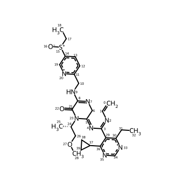 C=C/N=C(\N=C1/CN=C(NCc2ccc([S+]([O-])CC)cn2)C(=O)N1[C@@H](C)COC)c1c(CC)ncnc1C1CC1